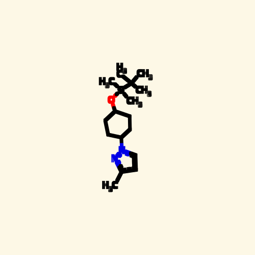 Cc1ccn(C2CCC(O[Si](C)(C)C(C)(C)C)CC2)n1